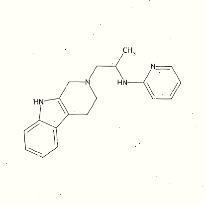 CC(CN1CCc2c([nH]c3ccccc23)C1)Nc1ccccn1